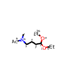 CCOC(CCCN(C)C(C)=O)OCC